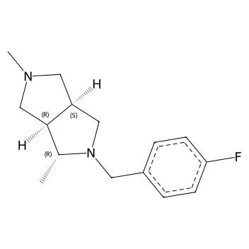 C[C@@H]1[C@H]2CN(C)C[C@H]2CN1Cc1ccc(F)cc1